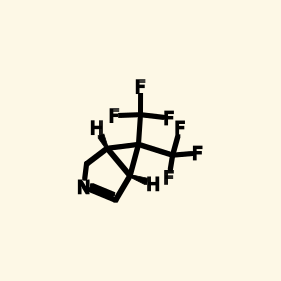 FC(F)(F)C1(C(F)(F)F)[C@@H]2C=NC[C@@H]21